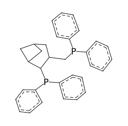 c1ccc(P(CC2CC3CC(C3)C2P(c2ccccc2)c2ccccc2)c2ccccc2)cc1